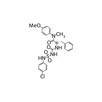 COc1ccc(N(C)C(=O)[C@H](Cc2ccccc2)NC(=O)NS(=O)(=O)Nc2ccc(Cl)cc2)cc1